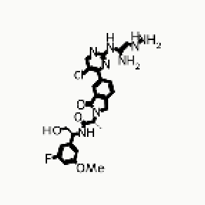 COc1cc(F)cc([C@@H](CO)NC(=O)[C@@H](C)N2Cc3ccc(-c4nc(N/C(N)=C/NN)ncc4Cl)cc3C2=O)c1